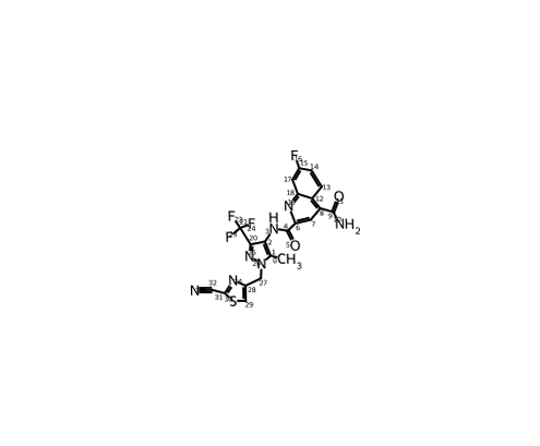 Cc1c(NC(=O)c2cc(C(N)=O)c3ccc(F)cc3n2)c(C(F)(F)F)nn1Cc1csc(C#N)n1